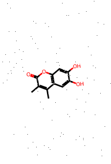 Cc1c(C)c2cc(O)c(O)cc2oc1=O